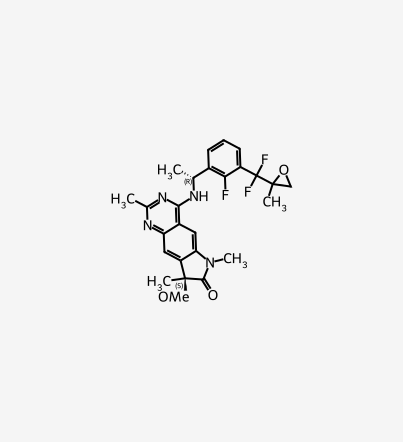 CO[C@]1(C)C(=O)N(C)c2cc3c(N[C@H](C)c4cccc(C(F)(F)C5(C)CO5)c4F)nc(C)nc3cc21